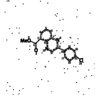 COC(=O)c1cccc2nc(-c3ccc(Cl)cc3)cnc12